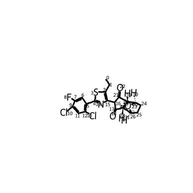 CCc1sc(-c2cc(F)c(Cl)cc2Cl)nc1C1C(=O)[C@@H]2[C@H](C1=O)[C@H]1CC[C@@H]2O1